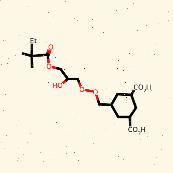 CCC(C)(C)C(=O)OCC(O)COOCC1CC(C(=O)O)CC(C(=O)O)C1